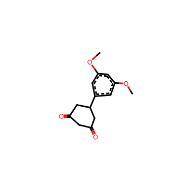 COc1cc(OC)cc(C2CC(=O)CC(=O)C2)c1